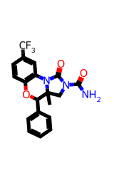 CC12CN(C(N)=O)C(=O)N1c1cc(C(F)(F)F)ccc1OC2c1ccccc1